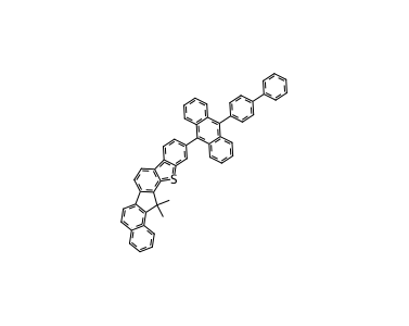 CC1(C)c2c(ccc3ccccc23)-c2ccc3c(sc4cc(-c5c6ccccc6c(-c6ccc(-c7ccccc7)cc6)c6ccccc56)ccc43)c21